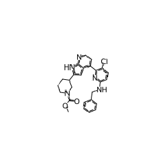 COC(=O)N1CCCC(c2cc3c(-c4nc(NCc5ccccc5)ccc4Cl)ccnc3[nH]2)C1